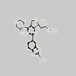 COCC[C@]1(C)OCc2c(N3CCOC[C@@H]3C)nc(-c3ccc4nc(N)oc4c3)nc21